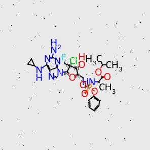 CC(C)OC(=O)C(C)N[P@@](=O)(OC[C@H]1O[C@@H](n2cnc3c(NC4CC4)nc(N)nc32)[C@@](Cl)(CF)[C@@H]1O)Oc1ccccc1